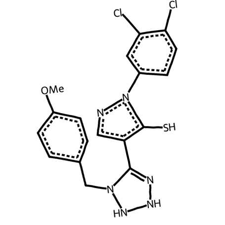 COc1ccc(CN2NNN=C2c2cnn(-c3ccc(Cl)c(Cl)c3)c2S)cc1